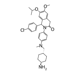 COc1cc2c(cc1OC(C)C)C(c1ccc(Cl)cc1)N(c1ccc(N(C)C[C@H]3CC[C@H](N)CC3)cc1)C(=O)C2